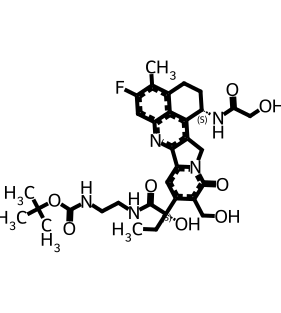 CC[C@@](O)(C(=O)NCCNC(=O)OC(C)(C)C)c1cc2n(c(=O)c1CO)Cc1c-2nc2cc(F)c(C)c3c2c1[C@@H](NC(=O)CO)CC3